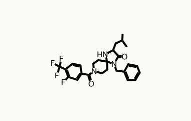 CC(C)CC1NC2(CCN(C(=O)c3ccc(C(F)(F)F)c(F)c3)CC2)N(Cc2ccccc2)C1=O